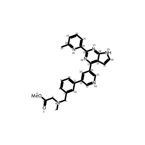 COC(=O)CN(C)Cc1cccc(-c2cncc(-c3nc(-c4cccc(C)n4)nc4[nH]ccc34)c2)c1